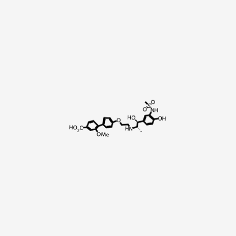 COc1cc(C(=O)O)ccc1-c1ccc(OCCN[C@@H](C)[C@@H](O)c2ccc(O)c(NS(C)(=O)=O)c2)cc1